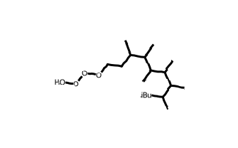 CCC(C)C(C)C(C)C(C)C(C)C(C)C(C)CCOOOO